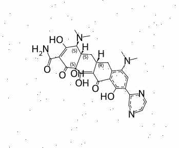 CN(C)c1cc(-c2cnccn2)c(O)c2c1C[C@H]1C[C@H]3[C@H](N(C)C)C(O)=C(C(N)=O)C(=O)[C@@]3(O)C(O)=C1C2=O